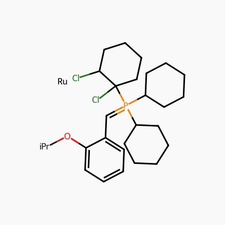 CC(C)Oc1ccccc1C=P(C1CCCCC1)(C1CCCCC1)C1(Cl)CCCCC1Cl.[Ru]